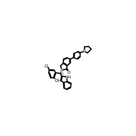 O=C1c2cc(-c3ccc(N4CCCC4)cc3)ccc2CN1[C@@H](c1cc2ccccc2[nH]1)c1cc(Cl)ccc1O